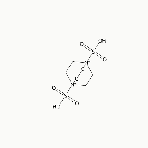 O=S(=O)(O)[N+]12CC[N+](S(=O)(=O)O)(CC1)CC2